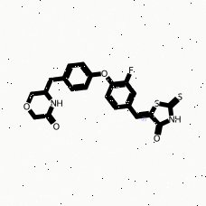 O=C1COCC(Cc2ccc(Oc3ccc(/C=C4\SC(=S)NC4=O)cc3F)cc2)N1